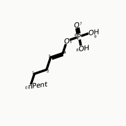 CCCCCCC/C=C/OP(=O)(O)O